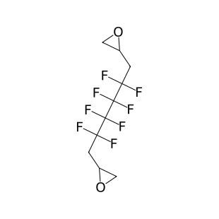 FC(F)(CC1CO1)C(F)(F)C(F)(F)C(F)(F)CC1CO1